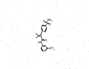 CC1(C)C(C(=O)Nc2ccnc(C(F)(F)F)c2)C1c1ccc(S(N)(=O)=O)cc1